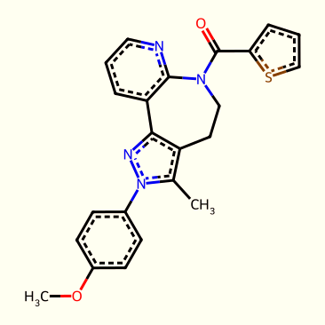 COc1ccc(-n2nc3c(c2C)CCN(C(=O)c2cccs2)c2ncccc2-3)cc1